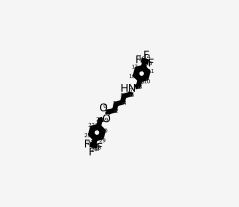 O=C(CCCCCNCc1ccc(C(F)(F)F)cc1)OCc1ccc(C(F)(F)F)cc1